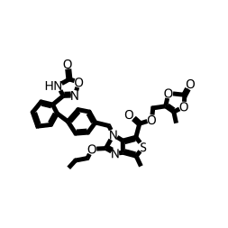 CCCOc1nc2c(C)sc(C(=O)OCc3oc(=O)oc3C)c2n1Cc1ccc(-c2ccccc2-c2noc(=O)[nH]2)cc1